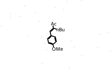 CCCC/C(=C\c1ccc(OC)cc1)C(C)=O